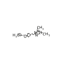 CCN1C=C2N=C(C=Cc3ccc(OCCOC)cc3)N=C2N(CC)C1